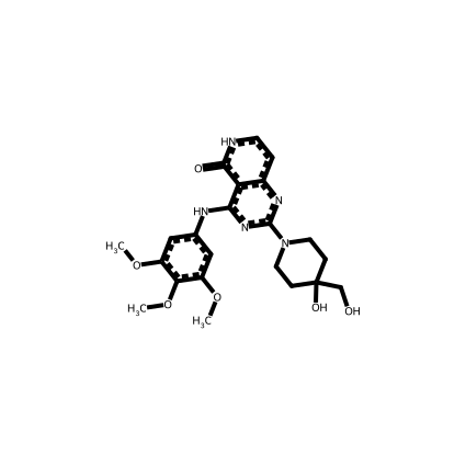 COc1cc(Nc2nc(N3CCC(O)(CO)CC3)nc3cc[nH]c(=O)c23)cc(OC)c1OC